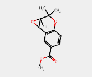 COC(=O)c1ccc2c(c1)C1OC1(C)C(C)(C)O2